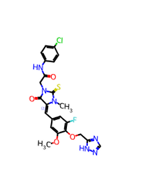 COc1cc(/C=C2/C(=O)N(CC(=O)Nc3ccc(Cl)cc3)C(=S)N2C)cc(F)c1OCc1ncn[nH]1